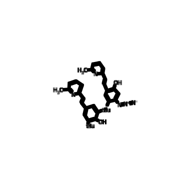 Cc1cccc(C=Cc2cc(C(C)(C)C)c(O)c(C(C)(C)C)c2)n1.Cc1cccc(C=Cc2cc(I)c(N=[N+]=[N-])cc2O)n1